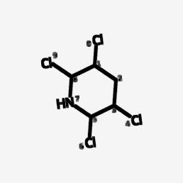 ClC1CC(Cl)C(Cl)NC1Cl